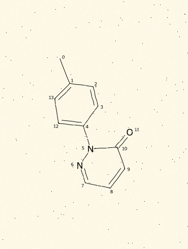 Cc1[c]cc(-n2ncccc2=O)cc1